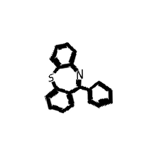 c1ccc(C2=Nc3ccccc3Sc3ccccc32)cc1